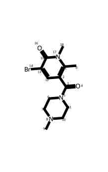 Cc1c(C(=O)N2CCN(C)CC2)cc(Br)c(=O)n1C